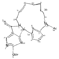 CSc1ncc2c(=O)n3n(c2n1)-c1cccc(n1)N(C(C)=O)CCCC/C=C\C3